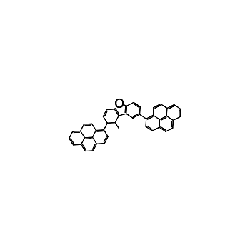 CC1c2c(oc3ccc(-c4ccc5ccc6cccc7ccc4c5c67)cc23)C=CC1c1ccc2ccc3cccc4ccc1c2c34